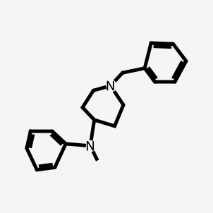 CN(c1ccccc1)C1CCN(Cc2ccccc2)CC1